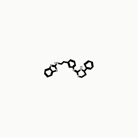 c1ccc(C2CCS/C(=N/c3cccc(CCNc4nc5ccccc5s4)c3)N2)cc1